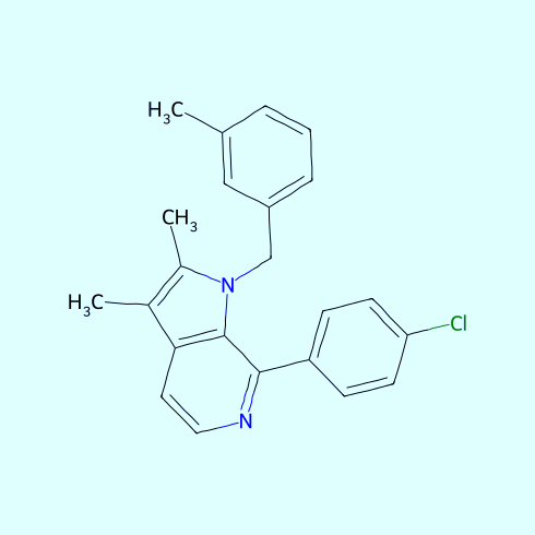 Cc1cccc(Cn2c(C)c(C)c3ccnc(-c4ccc(Cl)cc4)c32)c1